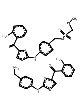 CNCS(=O)(=O)NCc1ccc(Nc2ncc(C(=O)c3ccccc3C)s2)cc1.Cc1ccccc1C(=O)c1cnc(Nc2ccc(CN)cc2)s1